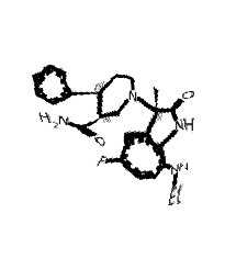 CCNc1cc(F)cc2c1NC(=O)[C@@]2(C)N1CC[C@H](c2ccccc2)[C@H](C(N)=O)C1